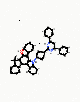 CC1(C)c2ccccc2-c2c1c1oc3ccccc3c1c1c2c2ccccc2n1-c1ccc(-c2nc(-c3ccccc3)cc(-c3ccccc3)n2)cc1